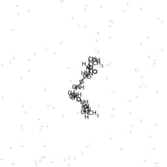 CCCCc1nc2c(NC(=O)OCCSSCCNC(=O)CC[C@@H](NC(=O)c3ccc(NCc4cnc5nc(C)[nH]c(=O)c5n4)cc3)C(=O)O)nc3ccccc3c2n1CC(C)(C)CO